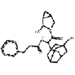 N#CC1C2CC2CN1C(=O)C(NC(=O)CCc1ccccc1)C12CC3CC(CC(O)(C3)C1)C2